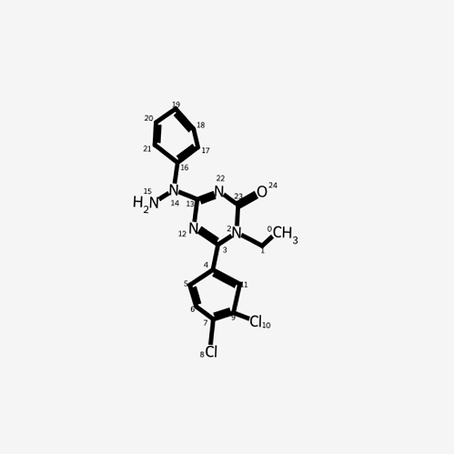 CCn1c(-c2ccc(Cl)c(Cl)c2)nc(N(N)c2ccccc2)nc1=O